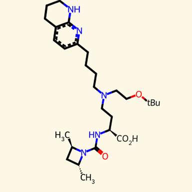 C[C@@H]1C[C@@H](C)N1C(=O)N[C@@H](CCN(CCCCc1ccc2c(n1)NCCC2)CCOC(C)(C)C)C(=O)O